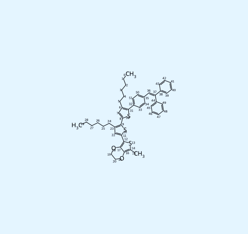 CCCCCCc1cc(-c2sc(-c3sc(C)c4c3OCCO4)cc2CCCCCC)sc1-c1ccc(C=C(c2ccccc2)c2ccccc2)cc1